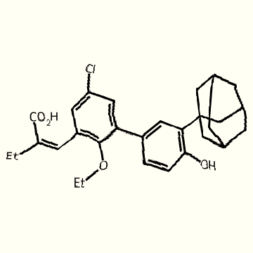 CCOc1c(C=C(CC)C(=O)O)cc(Cl)cc1-c1ccc(O)c(C23CC4CC(CC(C4)C2)C3)c1